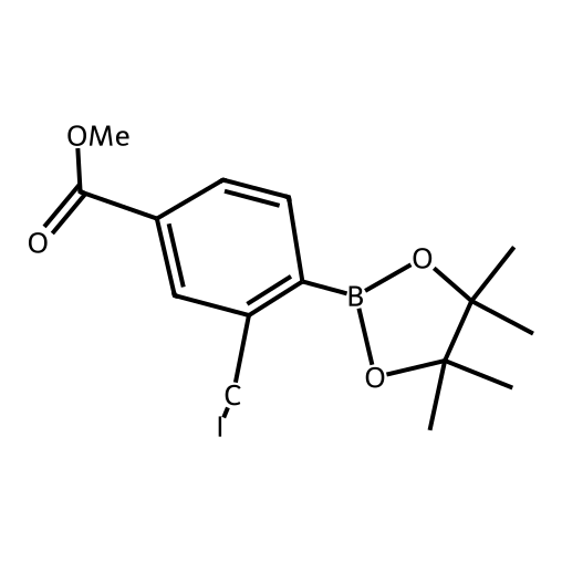 COC(=O)c1ccc(B2OC(C)(C)C(C)(C)O2)c(CI)c1